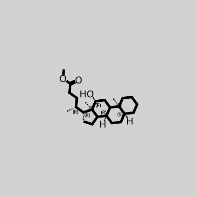 COC(=O)CC[C@@H](C)[C@H]1CCC2[C@@H]3CC[C@@H]4CCCC[C@]4(C)C3C[C@@H](O)[C@@]21C